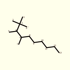 [CH2]C(C)(C)C(C)C(C)CCCCCC